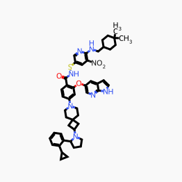 CC1(C)CCC(CNc2ncc(SNC(=O)c3ccc(N4CCC5(CC4)CC(N4CCCC4c4ccccc4C4CC4)C5)cc3Oc3cnc4[nH]ccc4c3)cc2[N+](=O)[O-])CC1